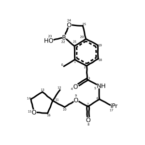 Cc1c(C(=O)NC(C(=O)OCC2(C)CCOC2)C(C)C)ccc2c1B(O)OC2